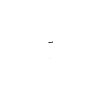 CCOC(=O)COc1ccc2c(c1)C(NC[C@H](O)c1cccc(Cl)c1)CCC2